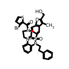 Cc1c(CO)oc2ccc(S(=O)(=O)N(CCc3ccccc3)c3ccccc3N3CCN(C(=O)c4sccc4Br)CC3)cc12